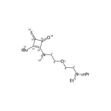 CCCN(CC)CCOCCN(C)c1c(C(C)(C)C)c(=S)c1=O